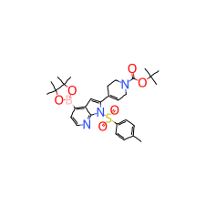 Cc1ccc(S(=O)(=O)n2c(C3=CCN(C(=O)OC(C)(C)C)CC3)cc3c(B4OC(C)(C)C(C)(C)O4)ccnc32)cc1